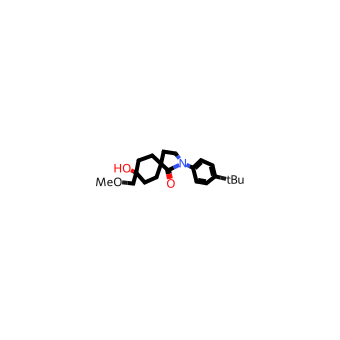 COCC1(O)CCC2(CCN(c3ccc(C(C)(C)C)cc3)C2=O)CC1